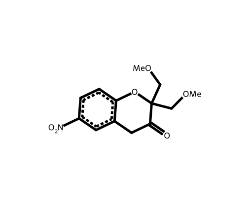 COCC1(COC)Oc2ccc([N+](=O)[O-])cc2CC1=O